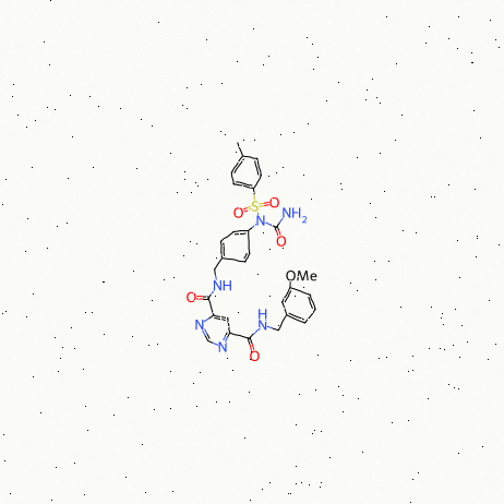 COc1cccc(CNC(=O)c2cc(C(=O)NCc3ccc(N(C(N)=O)S(=O)(=O)c4ccc(C)cc4)cc3)ncn2)c1